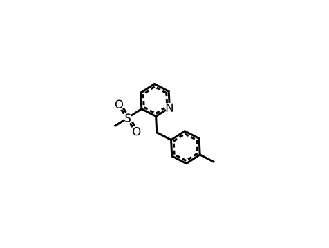 Cc1ccc(Cc2ncccc2S(C)(=O)=O)cc1